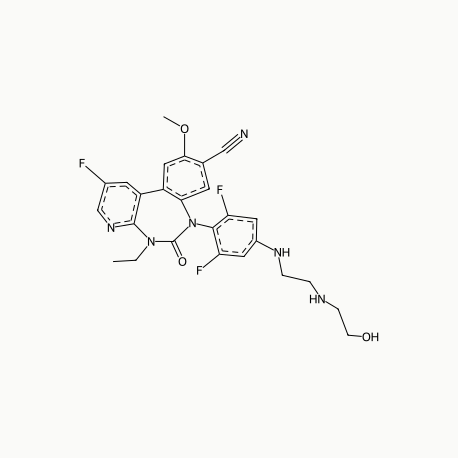 CCN1C(=O)N(c2c(F)cc(NCCNCCO)cc2F)c2cc(C#N)c(OC)cc2-c2cc(F)cnc21